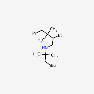 CCC(C)CC(C)(C)NCC(CC)C(C)(C)CC(C)C